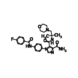 CC(C)(CN1CCOCC1)NC(=O)c1c(C(N)=O)ncn1-c1ccc(NC(=O)c2ccc(F)cc2)cc1